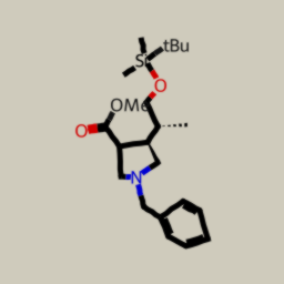 COC(=O)C1CN(Cc2ccccc2)C[C@@H]1[C@@H](C)CO[Si](C)(C)C(C)(C)C